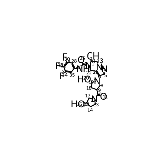 C[C@H]1Cn2ncc(N3CC(C(=O)N4CC[C@H](O)C4)CC3O)c2CN1C(=O)Nc1cc(F)c(F)c(F)c1